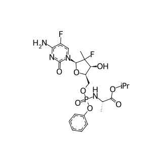 CC(C)OC(=O)[C@H](C)NP(=O)(OC[C@H]1O[C@@H](n2cc(F)c(N)nc2=O)C(C)(F)[C@H]1O)Oc1ccccc1